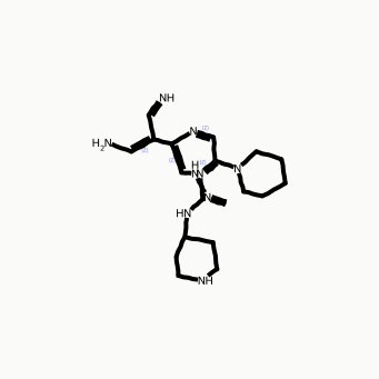 C=NN/C=C(\N=C/C(=N/CNC1CCNCC1)N1CCCCC1)C(/C=N)=C/N